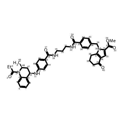 CCC(=O)N1c2ccccc2[C@H](Nc2ccc(C(=O)NCCCNC(=O)c3ccc(Cn4c(C(=O)OC)cc5c4CCCC5=O)cc3)cc2)C[C@@H]1C